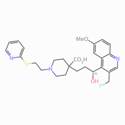 COc1ccc2ncc(CF)c([C@@H](O)CCC3(C(=O)O)CCN(CCSc4ccccn4)CC3)c2c1